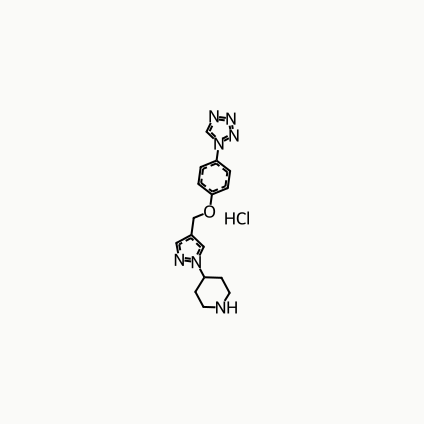 Cl.c1nn(C2CCNCC2)cc1COc1ccc(-n2cnnn2)cc1